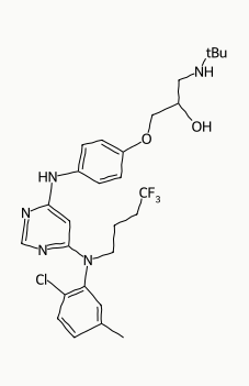 Cc1ccc(Cl)c(N(CCCC(F)(F)F)c2cc(Nc3ccc(OCC(O)CNC(C)(C)C)cc3)ncn2)c1